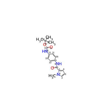 Cn1cccc1C(=O)Nc1ccc(NC(=O)OC(C)(C)C)cc1